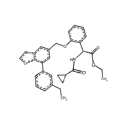 CCOC(=O)C(NC(=O)C1CC1)c1ccccc1OCc1cc(-c2cccc(CC)c2)c2occc2c1